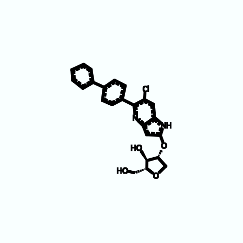 OC[C@H]1OC[C@@H](Oc2cc3nc(-c4ccc(-c5ccccc5)cc4)c(Cl)cc3[nH]2)[C@@H]1O